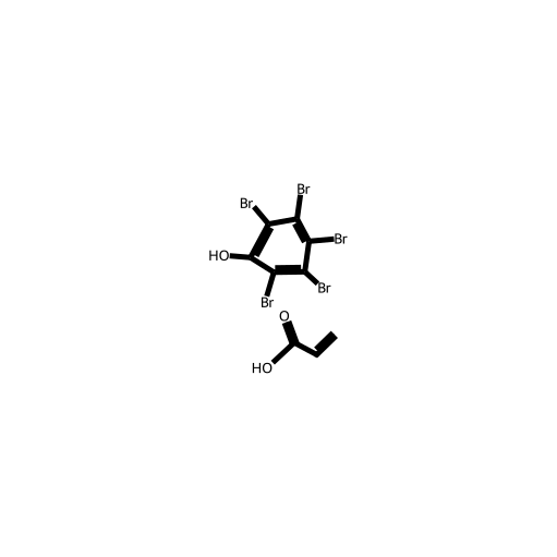 C=CC(=O)O.Oc1c(Br)c(Br)c(Br)c(Br)c1Br